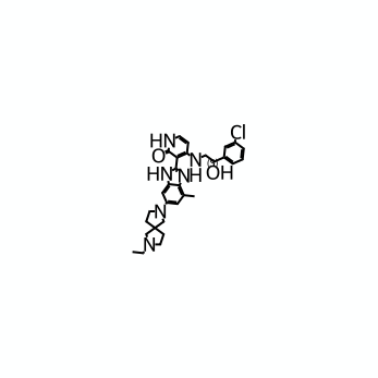 CCN1CCC2(CCN(c3cc(C)c4nc(-c5c(NC[C@@H](O)c6cccc(Cl)c6)cc[nH]c5=O)[nH]c4c3)C2)C1